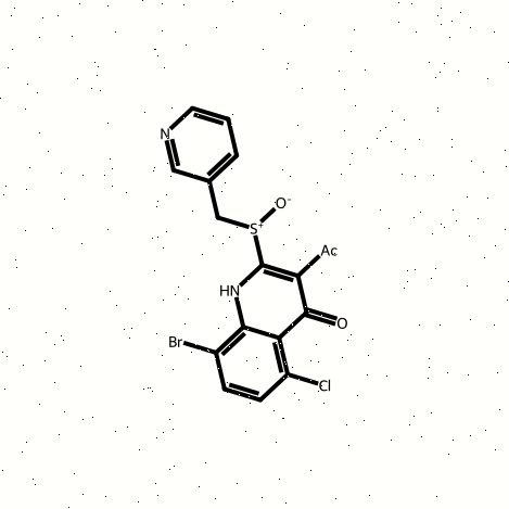 CC(=O)c1c([S+]([O-])Cc2cccnc2)[nH]c2c(Br)ccc(Cl)c2c1=O